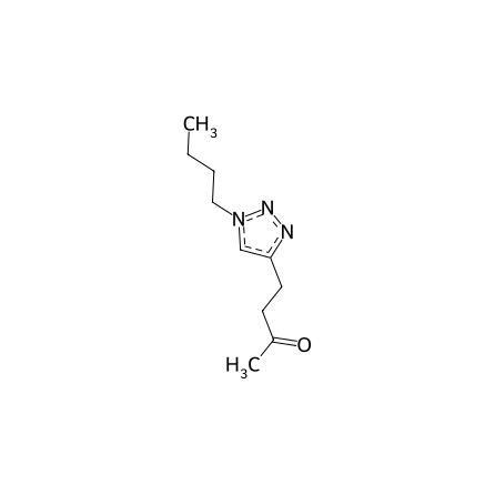 CCCCn1cc(CCC(C)=O)nn1